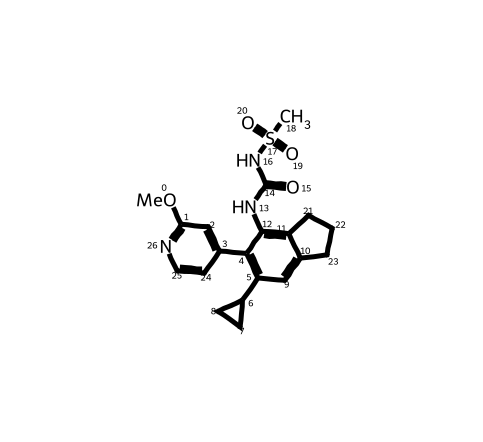 COc1cc(-c2c(C3CC3)cc3c(c2NC(=O)NS(C)(=O)=O)CCC3)ccn1